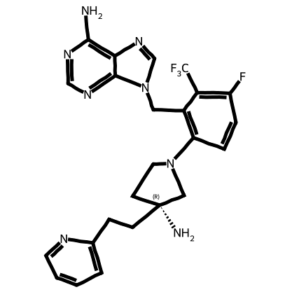 Nc1ncnc2c1ncn2Cc1c(N2CC[C@](N)(CCc3ccccn3)C2)ccc(F)c1C(F)(F)F